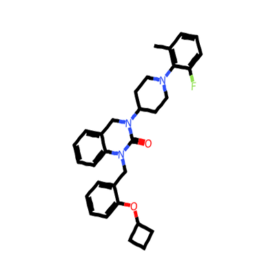 Cc1cccc(F)c1N1CCC(N2Cc3ccccc3N(Cc3ccccc3OC3CCC3)C2=O)CC1